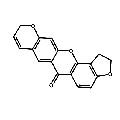 O=c1c2cc3c(cc2oc2c4c(ccc12)OCC4)OCC=C3